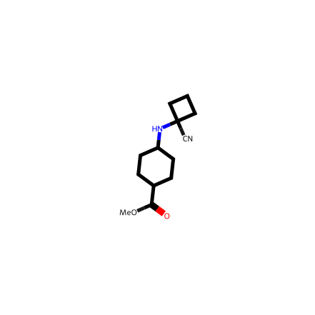 COC(=O)C1CCC(NC2(C#N)CCC2)CC1